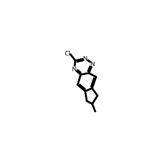 CC1Cc2cc3nnc(Cl)nc3cc2C1